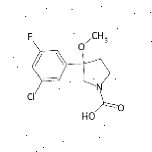 COC1(c2cc(F)cc(Cl)c2)CCN(C(=O)O)C1